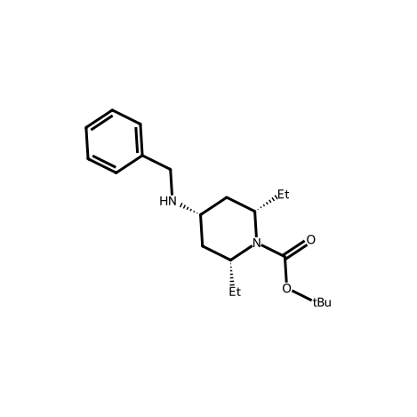 CC[C@@H]1C[C@H](NCc2ccccc2)C[C@H](CC)N1C(=O)OC(C)(C)C